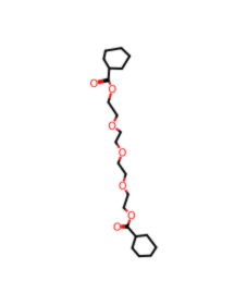 O=C(OCCOCCOCCOCCOC(=O)C1CCCCC1)C1CCCCC1